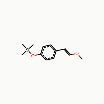 CO/C=C/c1ccc(O[Si](C)(C)C)cc1